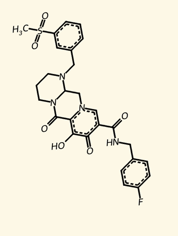 CS(=O)(=O)c1cccc(CN2CCCN3C(=O)c4c(O)c(=O)c(C(=O)NCc5ccc(F)cc5)cn4CC23)c1